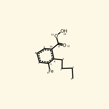 CCCCc1[c]([Fe])cccc1C(=O)OO